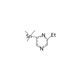 CCc1cnc[c]([Sn]([CH3])([CH3])[CH3])n1